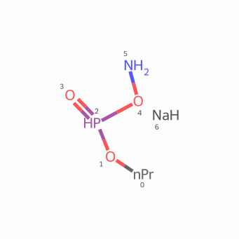 CCCO[PH](=O)ON.[NaH]